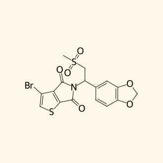 CS(=O)(=O)CC(c1ccc2c(c1)OCO2)N1C(=O)c2scc(Br)c2C1=O